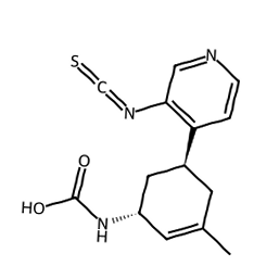 CC1=C[C@H](NC(=O)O)C[C@@H](c2ccncc2N=C=S)C1